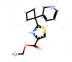 CCOC(=O)c1csc(C2(C3=CC=CNC3)CCC2)n1